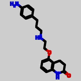 Nc1ccc(CCCNCCOc2cccc3c2CCC(=O)N3)cc1